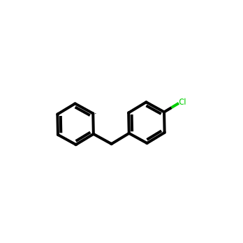 Clc1ccc(Cc2[c]cccc2)cc1